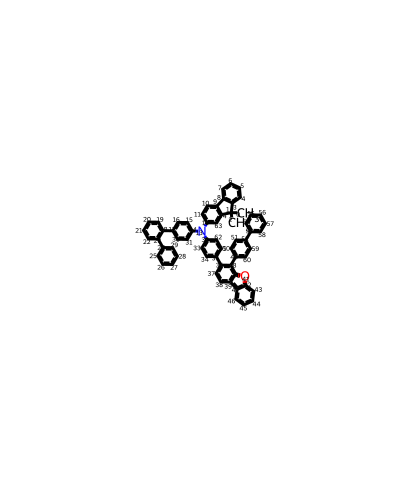 CC1(C)c2ccccc2-c2ccc(N(c3ccc(-c4ccccc4-c4ccccc4)cc3)c3ccc(-c4ccc5c(oc6ccccc65)c4-c4ccc(-c5ccccc5)cc4)cc3)cc21